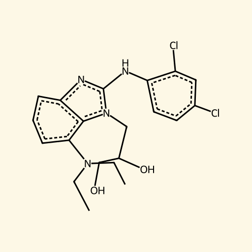 CCN(CC)c1cccc2nc(Nc3ccc(Cl)cc3Cl)n(CC(O)CO)c12